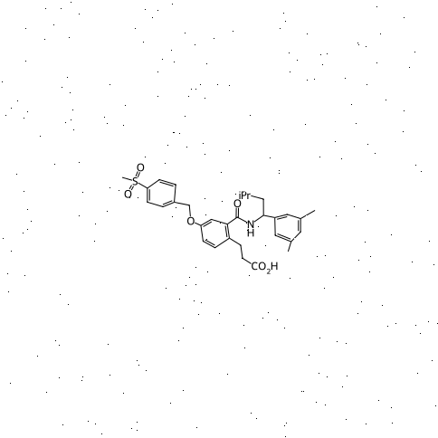 Cc1cc(C)cc(C(CC(C)C)NC(=O)c2cc(OCc3ccc(S(C)(=O)=O)cc3)ccc2CCC(=O)O)c1